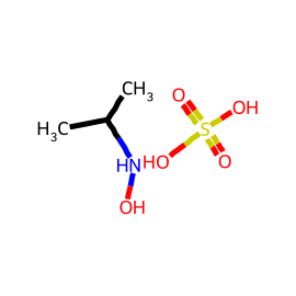 CC(C)NO.O=S(=O)(O)O